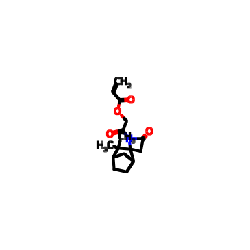 C=CC(=O)OCC(=O)N1C(=O)CC12C1CCC(C1)C2(C)C